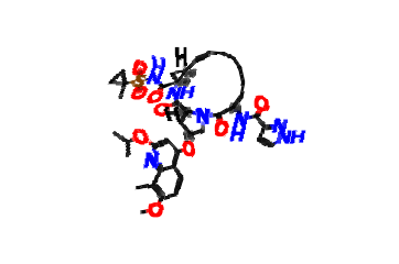 COc1ccc2c(O[C@@H]3C[C@H]4C(=O)N[C@]5(C(=O)NS(=O)(=O)C6(C)CC6)C[C@H]5C=CCCCCC[C@H](NC(=O)c5cc[nH]n5)C(=O)N4C3)cc(OC(C)C)nc2c1C